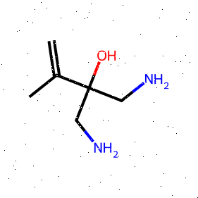 C=C(C)C(O)(CN)CN